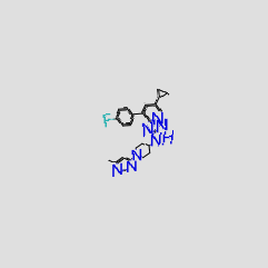 Cc1cc(N2CCC(Nc3nc4c(-c5ccc(F)cc5)cc(C5CC5)cn4n3)CC2)ncn1